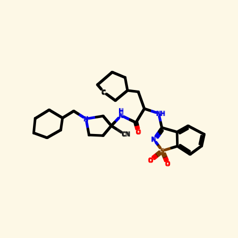 N#CC1(NC(=O)C(CC2CCCCC2)NC2=NS(=O)(=O)c3ccccc32)CCN(CC2CCCCC2)C1